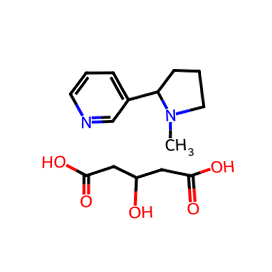 CN1CCCC1c1cccnc1.O=C(O)CC(O)CC(=O)O